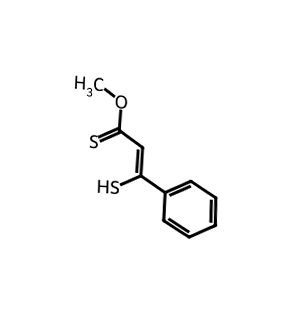 COC(=S)/C=C(\S)c1ccccc1